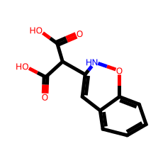 O=C(O)C(C(=O)O)C1=Cc2ccccc2ON1